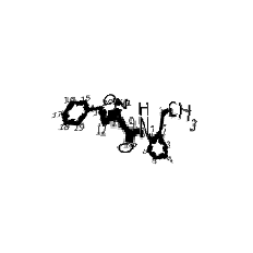 CCc1ccccc1NC(=O)c1cc(-c2ccccc2)on1